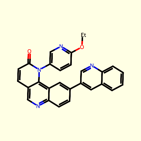 CCOc1ccc(-n2c(=O)ccc3cnc4ccc(-c5cnc6ccccc6c5)cc4c32)cn1